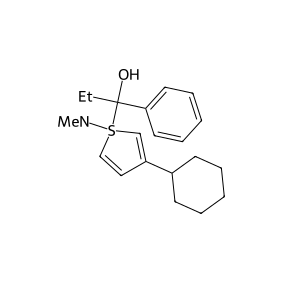 CCC(O)(c1ccccc1)S1(NC)C=CC(C2CCCCC2)=C1